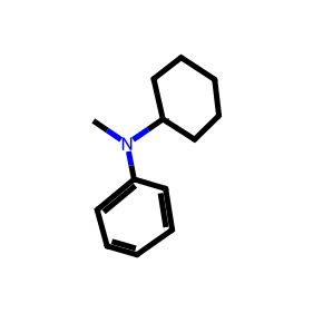 CN([C]1CCCCC1)c1ccccc1